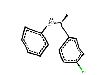 C[C@H]([SiH2]c1ccccc1)c1ccc(Cl)cc1